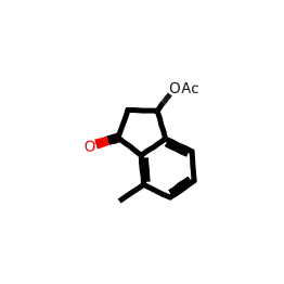 CC(=O)OC1CC(=O)c2c(C)cccc21